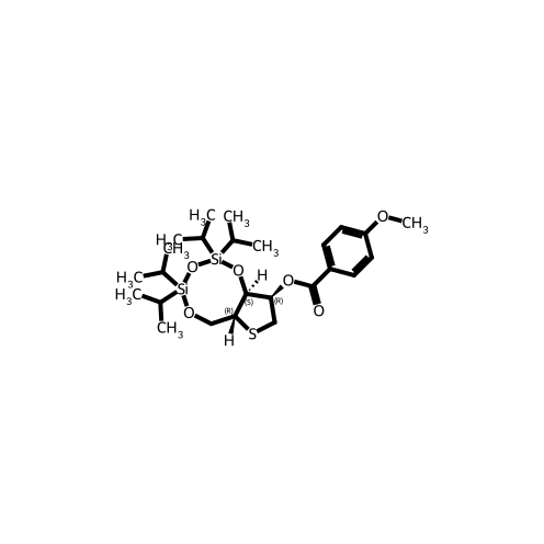 COc1ccc(C(=O)O[C@H]2CS[C@@H]3CO[Si](C(C)C)(C(C)C)O[Si](C(C)C)(C(C)C)O[C@@H]23)cc1